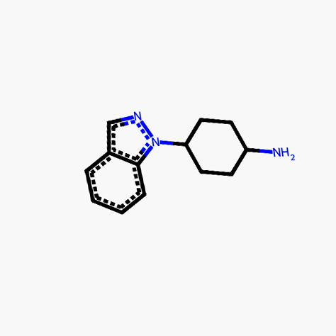 NC1CCC(n2ncc3ccccc32)CC1